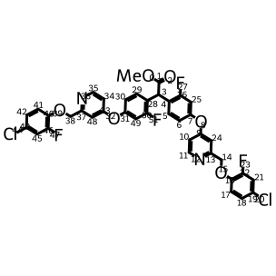 COC(=O)C(c1ccc(Oc2ccnc(COc3ccc(Cl)cc3F)c2)cc1F)c1ccc(Oc2ccnc(COc3ccc(Cl)cc3F)c2)cc1F